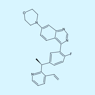 C=Cc1cccnc1[C@@H](C)c1ccc(F)c(-c2ncnc3cc(N4CCOCC4)ccc23)c1